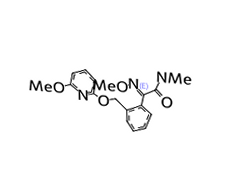 CNC(=O)/C(=N/OC)c1ccccc1COc1cccc(OC)n1